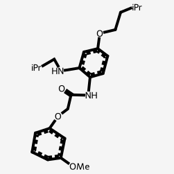 COc1cccc(OCC(=O)Nc2ccc(OCCC(C)C)cc2NCC(C)C)c1